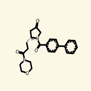 O=C1C[C@@H](CCC(=O)N2CCOCC2)N(C(=O)c2ccc(-c3ccccc3)cc2)C1